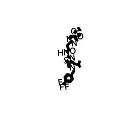 CCS(=O)(=O)c1cnc(CC(=O)Nc2nc3c(s2)CN(Cc2ccc(C(F)(F)F)cc2)C3C(C)C)nc1